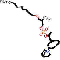 CCCCCCCCCCCCCCCCOCC(COP(=O)([O-])OC(C)c1cccc([N+]23CCC(CC2)C3)c1)OC(C)=O